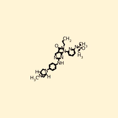 C=CCn1c(=O)c2cnc(Nc3ccc(N4C[C@@H]5C[C@H]4CN5C)cc3)nc2n1-c1cccc(N=S(C)(C)=O)n1